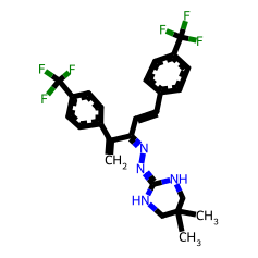 C=C(C(C=Cc1ccc(C(F)(F)F)cc1)=NN=C1NCC(C)(C)CN1)c1ccc(C(F)(F)F)cc1